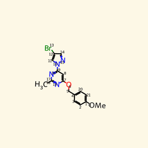 COc1ccc(COc2cc(-n3cc(Br)cn3)nc(C)n2)cc1